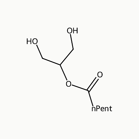 CCCCCC(=O)OC(CO)CO